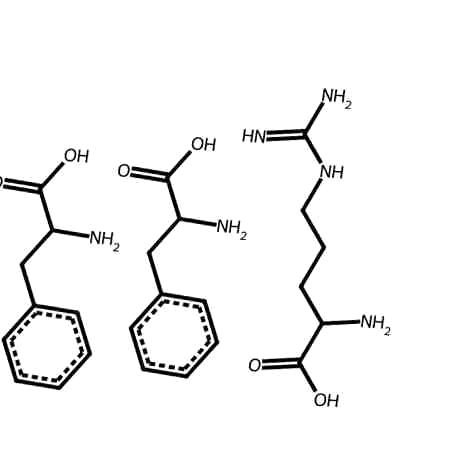 N=C(N)NCCCC(N)C(=O)O.NC(Cc1ccccc1)C(=O)O.NC(Cc1ccccc1)C(=O)O